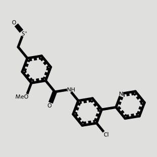 COc1cc(C[S+]=O)ccc1C(=O)Nc1ccc(Cl)c(-c2ccccn2)c1